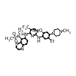 CCc1cc(Nc2ncc(C(F)(F)F)c(Nc3ccc4nccnc4c3N(C)S(C)(=O)=O)n2)c(OC)cc1N1CCN(C)CC1